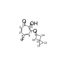 O=c1ccc(F)cc(OC2CC3(CC3)C2)c1O